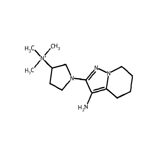 C[N+](C)(C)C1CCN(c2nn3c(c2N)CCCC3)C1